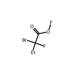 CCC(F)(Br)C(=O)OF